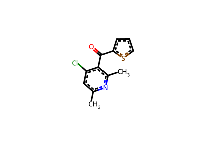 Cc1cc(Cl)c(C(=O)c2cccs2)c(C)n1